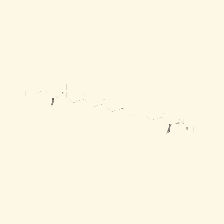 CCC(=O)NCCCCCCCCCCC(=O)NC